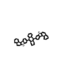 c1ccc2c(c1)ccc1sc3cc(-c4c5ccccc5c(-c5ccc6c(c5)sc5ccc7ccccc7c56)c5ccccc45)ccc3c12